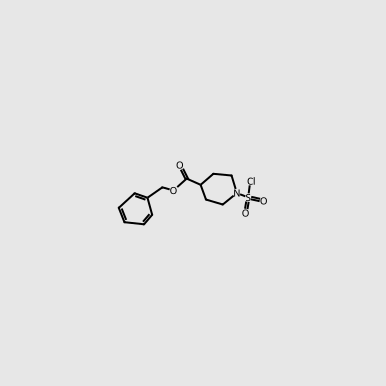 O=C(OCc1ccccc1)C1CCN(S(=O)(=O)Cl)CC1